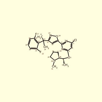 C[C@H](Oc1cc(Cl)nc(-c2cc(C(C)(C)c3c(F)cccc3F)no2)n1)[C@@H]1CCCN1C